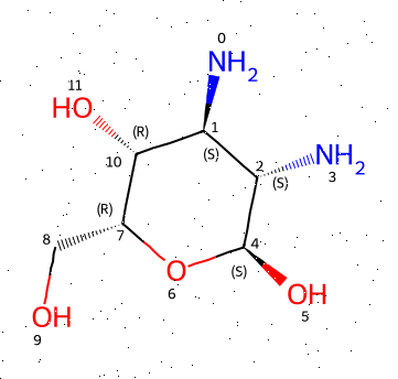 N[C@H]1[C@H](N)[C@@H](O)O[C@H](CO)[C@@H]1O